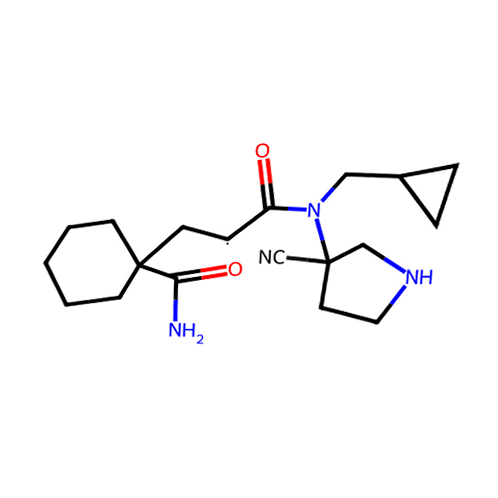 N#CC1(N(CC2CC2)C(=O)[CH]CC2(C(N)=O)CCCCC2)CCNC1